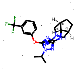 CC(C)n1nc(N[C@@H]2[C@@H]3CC[C@H]2CN(C#N)C3)nc1Oc1cccc(C(F)(F)F)c1